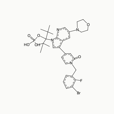 CC(C)(C)C(OP(=O)(O)O)(n1cc(-c2ccn(Cc3cccc(Br)c3F)c(=O)c2)c2cc(N3CCOCC3)cnc21)C(C)(C)C